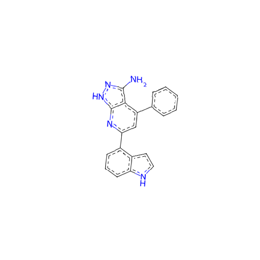 Nc1n[nH]c2nc(-c3cccc4[nH]ccc34)cc(-c3ccccc3)c12